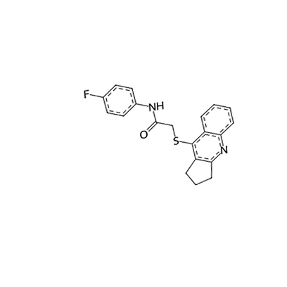 O=C(CSc1c2c(nc3ccccc13)CCC2)Nc1ccc(F)cc1